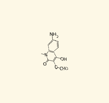 Cn1c(=O)c(OC=O)c(O)c2ccc(N)cc21